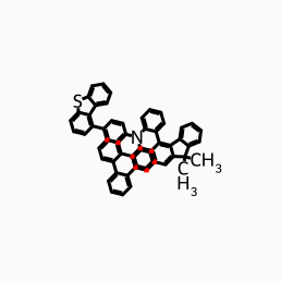 CC1(C)c2ccccc2-c2c(-c3ccccc3N(c3ccc(-c4cccc5sc6ccccc6c45)cc3)c3ccccc3-c3ccccc3-c3ccccc3-c3ccccc3)cccc21